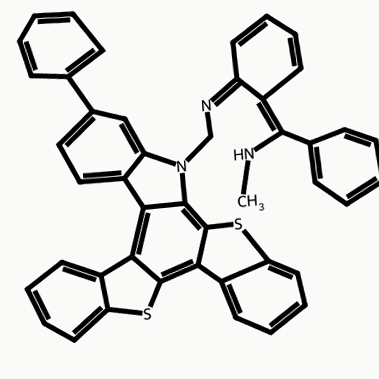 CN/C(=C1/C=CC=C/C1=N/Cn1c2cc(-c3ccccc3)ccc2c2c3c4ccccc4sc3c3c4ccccc4sc3c21)c1ccccc1